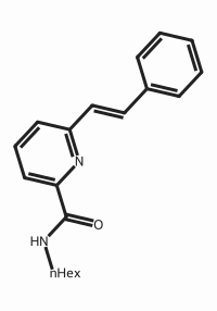 CCCCCCNC(=O)c1cccc(C=Cc2ccccc2)n1